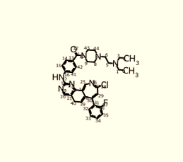 CCN(CC)CCN1CCN(C(=O)c2ccc(Nc3ncc4c(n3)C3=CN=C(Cl)C=C(c5ccccc5F)C3=CC4)cc2)CC1